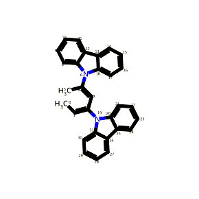 C/C=C(\C=C(/C)n1c2ccccc2c2ccccc21)n1c2ccccc2c2ccccc21